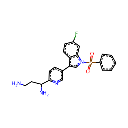 NCCC(N)c1ccc(-c2cn(S(=O)(=O)c3ccccc3)c3cc(F)ccc23)cn1